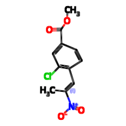 COC(=O)c1ccc(/C=C(\C)[N+](=O)[O-])c(Cl)c1